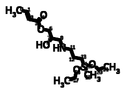 CC=CC(=O)OCC(O)CNCCC[Si](C)(OCC)OCC